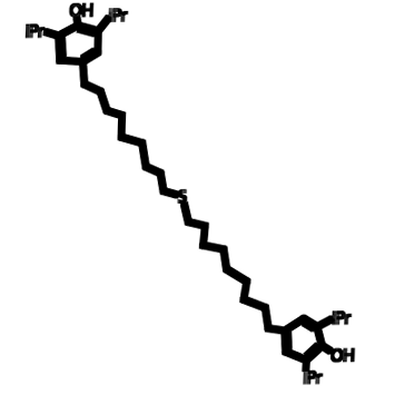 CC(C)c1cc(CCCCCCCCCSCCCCCCCCCc2cc(C(C)C)c(O)c(C(C)C)c2)cc(C(C)C)c1O